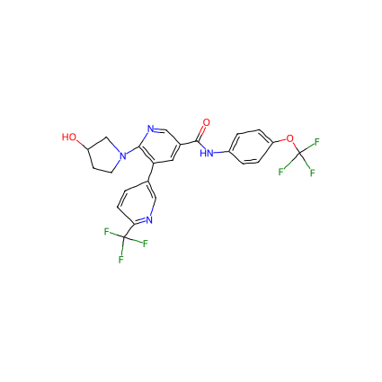 O=C(Nc1ccc(OC(F)(F)F)cc1)c1cnc(N2CCC(O)C2)c(-c2ccc(C(F)(F)F)nc2)c1